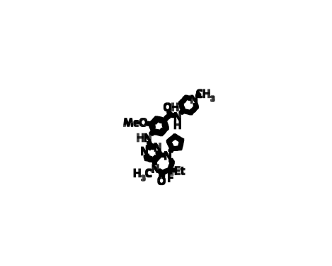 CCC1(F)CN(C2CCCC2)c2nc(Nc3ccc(C(O)NC4CCN(C)CC4)cc3OC)ncc2N(C)C1=O